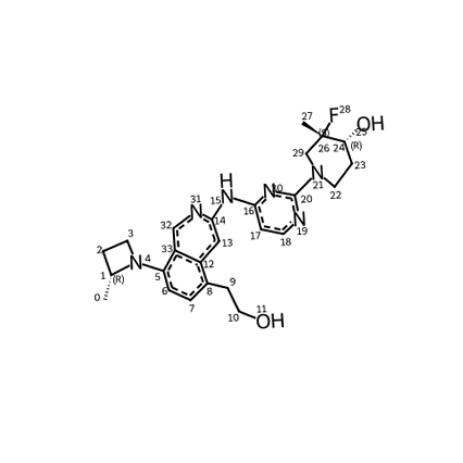 C[C@@H]1CCN1c1ccc(CCO)c2cc(Nc3ccnc(N4CC[C@@H](O)[C@@](C)(F)C4)n3)ncc12